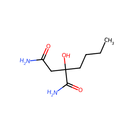 CCCCC(O)(CC(N)=O)C(N)=O